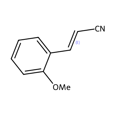 COc1ccccc1/C=C/C#N